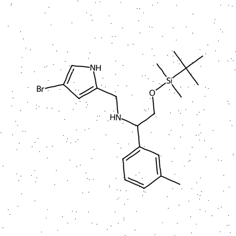 Cc1cccc(C(CO[Si](C)(C)C(C)(C)C)NCc2cc(Br)c[nH]2)c1